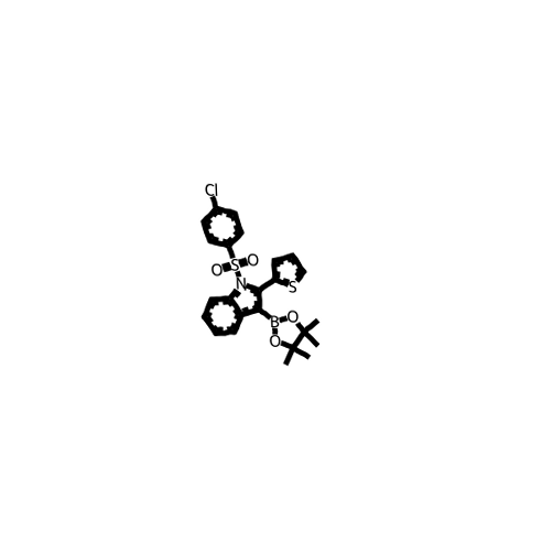 CC1(C)OB(c2c(-c3cccs3)n(S(=O)(=O)c3ccc(Cl)cc3)c3ccccc23)OC1(C)C